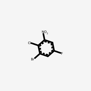 O=[N+]([O-])c1cc(F)cc(Br)c1Cl